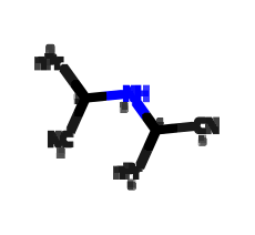 CCCC(C#N)NC(C#N)CCC